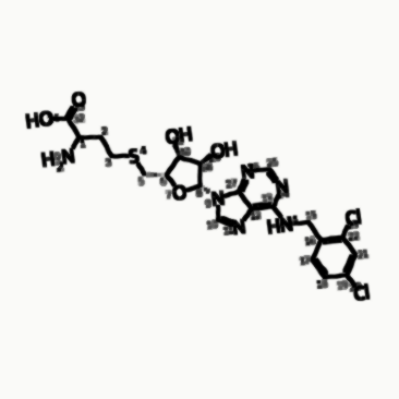 NC(CCSC[C@H]1O[C@@H](n2cnc3c(NCc4ccc(Cl)cc4Cl)ncnc32)[C@H](O)[C@@H]1O)C(=O)O